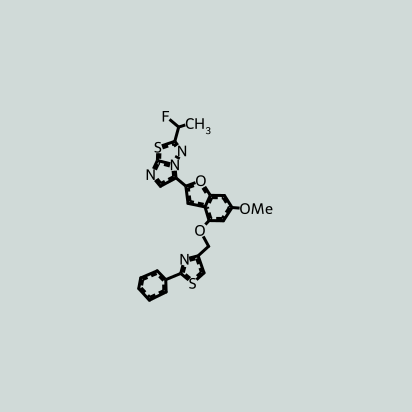 COc1cc(OCc2csc(-c3ccccc3)n2)c2cc(-c3cnc4sc(C(C)F)nn34)oc2c1